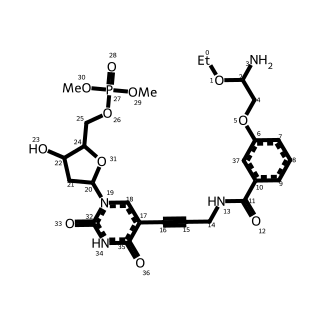 CCOC(N)COc1cccc(C(=O)NCC#Cc2cn(C3CC(O)C(COP(=O)(OC)OC)O3)c(=O)[nH]c2=O)c1